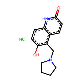 Cl.O=c1ccc2c(CN3CCCC3)c(O)ccc2[nH]1